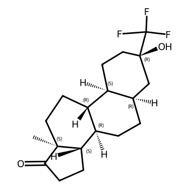 C[C@]12CC[C@H]3[C@@H](CC[C@@H]4C[C@@](O)(C(F)(F)F)CC[C@@H]43)[C@@H]1CCC2=O